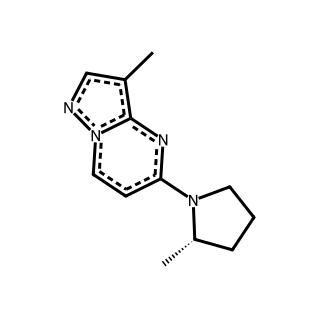 Cc1cnn2ccc(N3CCC[C@@H]3C)nc12